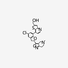 CN1CCc2noc([C@H]3Cc4cc(Cl)cc(-c5ccnc6cc(CO)sc56)c4O3)c2C1